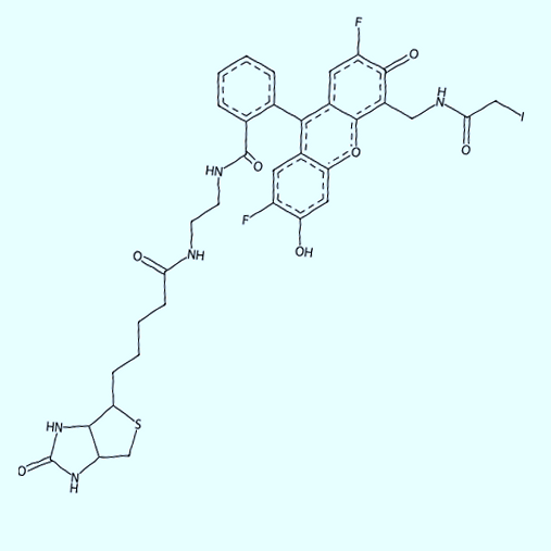 O=C(CI)NCc1c2oc3cc(O)c(F)cc3c(-c3ccccc3C(=O)NCCNC(=O)CCCCC3SCC4NC(=O)NC43)c-2cc(F)c1=O